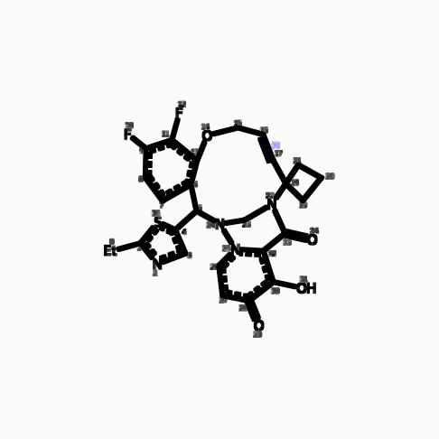 CCc1ncc(C2c3ccc(F)c(F)c3OC/C=C/C3(CCC3)N3CN2n2ccc(=O)c(O)c2C3=O)s1